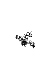 CC(=O)Oc1ccc([C@@H]2N(c3ccc(F)cc3)C(=O)[C@]2(CCCc2ccc(F)cc2)OC(C)=O)cc1